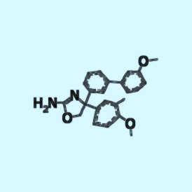 COc1cccc(-c2cccc(C3(c4ccc(OC)c(C)c4)COC(N)=N3)c2)c1